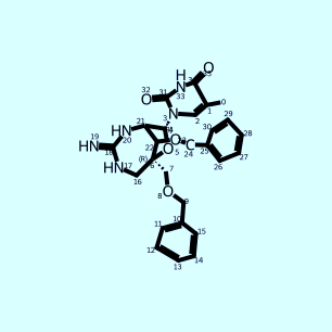 Cc1cn([C@@H]2O[C@@]3(COCc4ccccc4)CNC(=N)NC2C3OCc2ccccc2)c(=O)[nH]c1=O